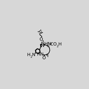 C[C@@H]1CCC[C@H](NC(=O)O)c2nc(cn2COCC[Si](C)(C)C)-c2ccc(N)cc2NC1=O